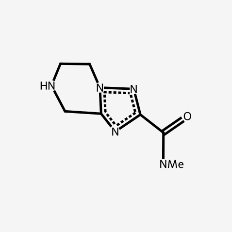 CNC(=O)c1nc2n(n1)CCNC2